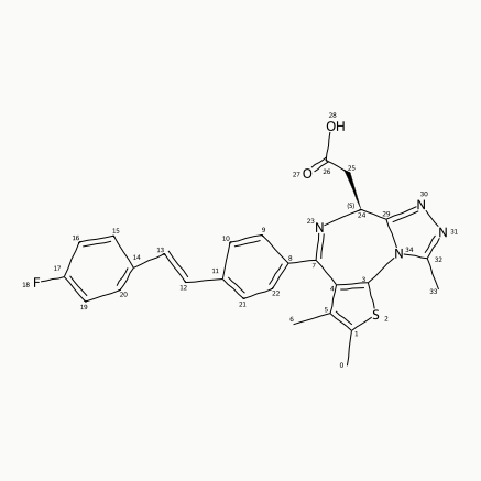 Cc1sc2c(c1C)C(c1ccc(C=Cc3ccc(F)cc3)cc1)=N[C@@H](CC(=O)O)c1nnc(C)n1-2